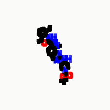 CCc1cccc(CC)c1NC(=O)c1nn(C)c2c1CCc1cnc(NC3CCN(C(=O)OC(C)(C)C)CC3)nc1-2